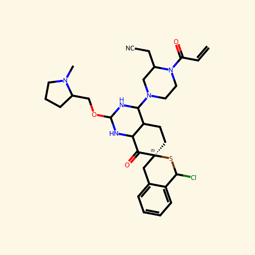 C=CC(=O)N1CCN(C2NC(OCC3CCCN3C)NC3C(=O)[C@]4(CCC32)Cc2ccccc2C(Cl)S4)CC1CC#N